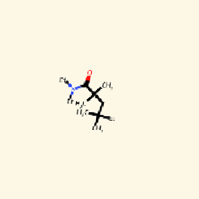 CCN(CC)C(=O)C(C)(C)CC(C)(C)CC